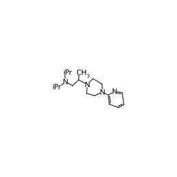 CC(CN(C(C)C)C(C)C)N1CCN(c2ccccn2)CC1